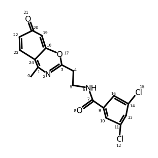 Cc1nc(CCNC(=O)c2cc(Cl)cc(Cl)c2)oc2cc(=O)ccc1-2